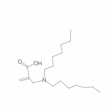 C=C(CN(CCCCCCC)CCCCCCC)C(=O)O